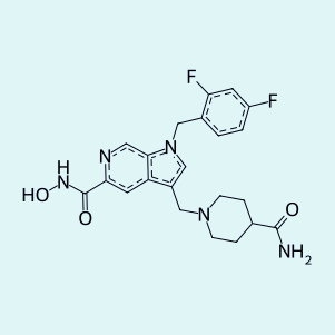 NC(=O)C1CCN(Cc2cn(Cc3ccc(F)cc3F)c3cnc(C(=O)NO)cc23)CC1